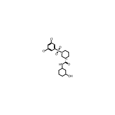 O=C(NC1CCCC(O)C1)[C@H]1CCCN(S(=O)(=O)c2cc(Cl)cc(Cl)c2)C1